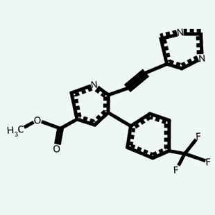 COC(=O)c1cnc(C#Cc2cncnc2)c(-c2ccc(C(F)(F)F)cc2)c1